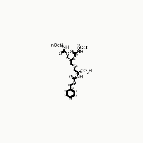 CCCCCCCCNC(=O)OC[C@H](CSC[C@H](NC(=O)OCc1ccccc1)C(=O)O)OC(=O)NCCCCCCCC